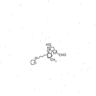 Cc1cc(CCCCOC2CCCCO2)c2c(c1)[C@H]1C(C=CC=O)CC(O)[C@H]1O2